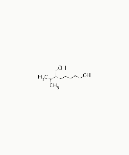 CC(C)C(CO)CCCCCO